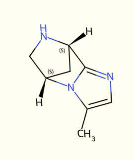 Cc1cnc2n1[C@@H]1CN[C@H]2C1